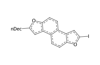 CCCCCCCCCCc1cc2c(ccc3c4cc(I)oc4ccc23)o1